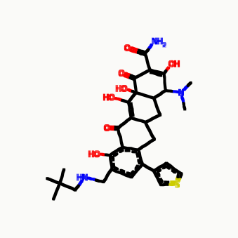 CN(C)C1C(O)=C(C(N)=O)C(=O)C2(O)C(O)=C3C(=O)c4c(O)c(CNCC(C)(C)C)cc(-c5ccsc5)c4CC3CC12